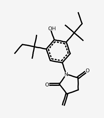 C=C1CC(=O)N(c2cc(C(C)(C)CC)c(O)c(C(C)(C)CC)c2)C1=O